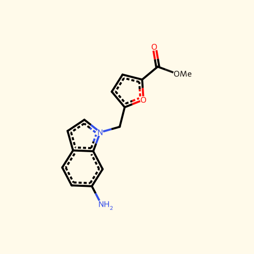 COC(=O)c1ccc(Cn2ccc3ccc(N)cc32)o1